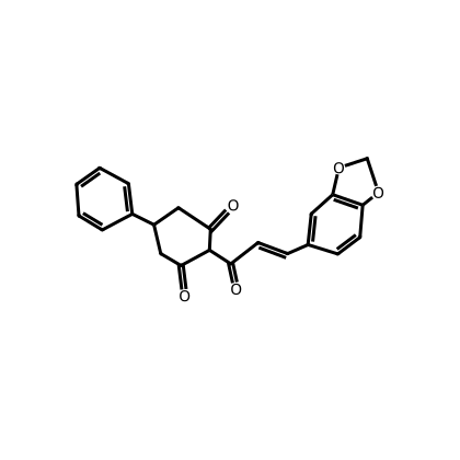 O=C(C=Cc1ccc2c(c1)OCO2)C1C(=O)CC(c2ccccc2)CC1=O